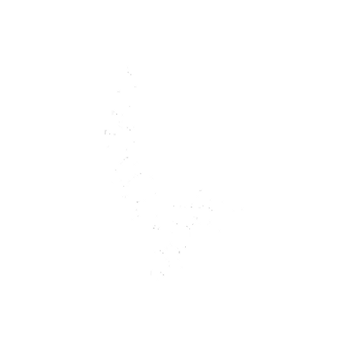 C[C@H](O/N=C(\C(=O)N[C@@H]1C(=O)N(OS(=O)(=O)O)C1(C)C)c1csc(N)n1)[C@H]1CCc2cc(C3CN=C(NCCCN)NC3)ccc2O1